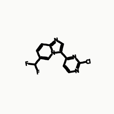 FC(F)c1ccc2ncc(-c3ccnc(Cl)n3)n2c1